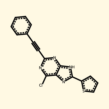 Clc1nc(C#Cc2ccccc2)nc2[nH]c(-c3cccs3)nc12